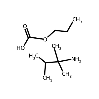 CC(C)C(C)(C)N.CCCOC(=O)O